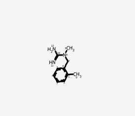 Cc1ccccc1CN(C)C(=N)N